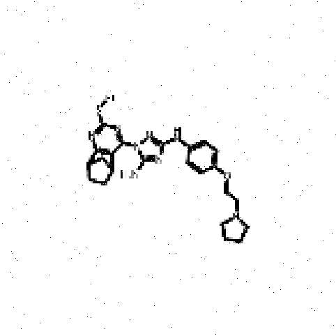 CCSc1nc2c(c(-n3nc(Nc4ccc(OCCN5CCCC5)cc4)nc3N)n1)C1CCC2C1